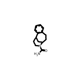 NC(=O)N1CCC2CC1CCc1ccccc12